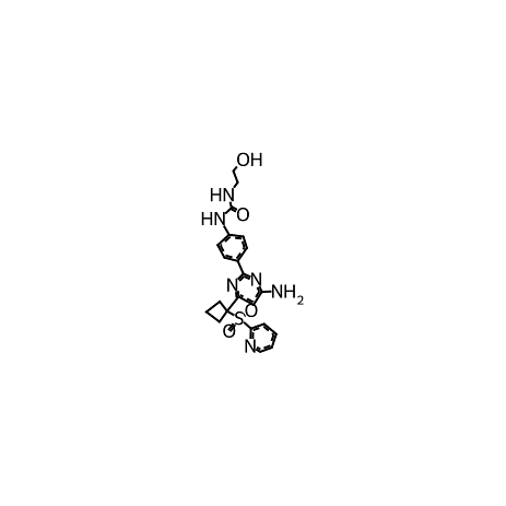 Nc1cc(C2(S(=O)(=O)c3ccccn3)CCC2)nc(-c2ccc(NC(=O)NCCO)cc2)n1